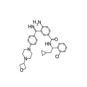 N=C(c1ccc(N2CCN(C3COC3)CC2)cc1)c1cc(C(=O)NC(CC2CC2)c2ccccc2Cl)ccc1N